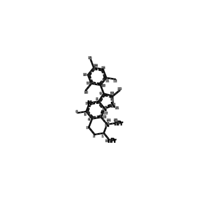 CCCC1CCc2c(C)nc3c(-c4c(C)cc(C)cc4C)c(C)nn3c2N1CCC